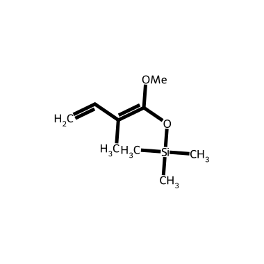 C=CC(C)=C(OC)O[Si](C)(C)C